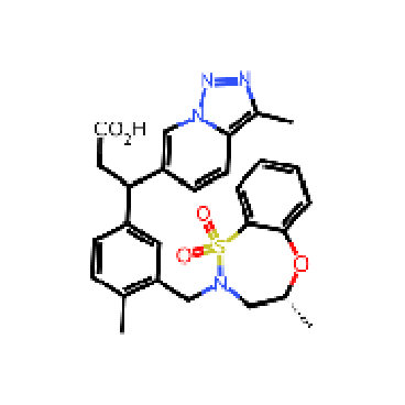 Cc1ccc(C(CC(=O)O)c2ccc3c(C)nnn3c2)cc1CN1C[C@@H](C)Oc2ccccc2S1(=O)=O